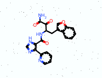 NC(=O)C(=O)C(Cc1coc2ccccc12)NC(=O)c1[nH]cnc1-c1ccccn1